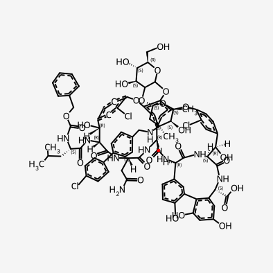 CC(C)C[C@H](NC(=O)OCc1ccccc1)C(=O)N[C@H]1C(=O)N[C@@H](CC(N)=O)C(=O)N[C@H]2C(=O)N[C@H]3C(=O)N[C@H](C(=O)N[C@H](C(=O)O)c4cc(O)cc(O)c4-c4cc3ccc4O)[C@H](O)c3ccc(c(Cl)c3)Oc3cc2cc(c3OC2O[C@H](CO)[C@@H](O)[C@H](O)C2O[C@H]2C[C@](C)(NCc3ccc(-c4ccc(Cl)cc4)cc3)[C@H](O)[C@H](C)O2)Oc2ccc(cc2Cl)[C@H]1O